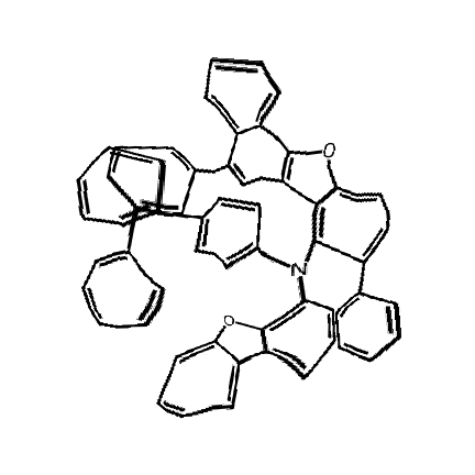 c1ccc(-c2ccc(N(c3cccc4c3oc3ccccc34)c3c(-c4ccccc4)ccc4oc5c6ccccc6c(-c6cccc(-c7ccccc7)c6)cc5c34)cc2)cc1